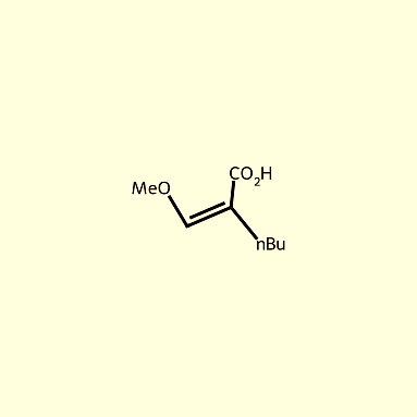 CCCCC(=COC)C(=O)O